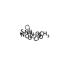 CS(=O)(=O)c1cccc2c1CN([C@@H](CC1CCCCC1)C(=O)Nc1nccs1)C2=O